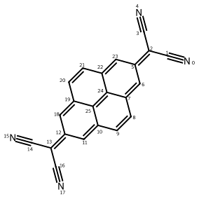 N#CC(C#N)=c1cc2ccc3cc(=C(C#N)C#N)cc4ccc(c1)c2c34